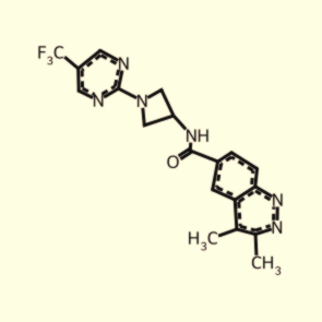 Cc1nnc2ccc(C(=O)NC3CN(c4ncc(C(F)(F)F)cn4)C3)cc2c1C